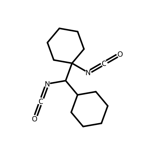 O=C=NC(C1CCCCC1)C1(N=C=O)CCCCC1